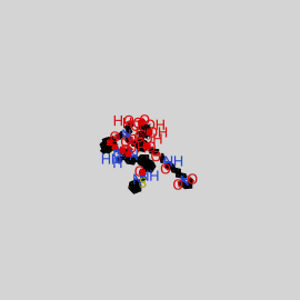 C/C(NCC12CC3(C)CC(C)(C1)CC(OCCN(CCC(=O)O)C(=O)OCc1ccc(OCCOCCNC(=O)CCCCCN4C(=O)C=CC4=O)cc1O[C@H]1O[C@@H](C(=O)O)[C@H](O)C(O)[C@@H]1O)(C3)C2)=C(/C=N)c1ccc(-c2ccc3cccc(C(=O)Nc4nc5ccccc5s4)c3c2)nc1C(=O)O